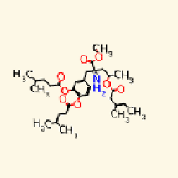 CCC(C)CC(=O)OC(C)C[C@@](N)(Cc1ccc(OC(=O)CCC(C)C)c(OC(=O)CCC(C)C)c1)C(=O)OC